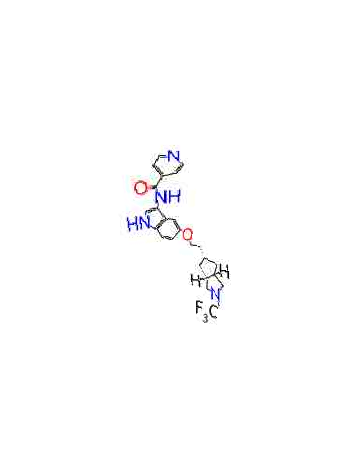 O=C(Nc1c[nH]c2ccc(OCC[C@@H]3C[C@@H]4CN(CC(F)(F)F)C[C@@H]4C3)cc12)c1ccncc1